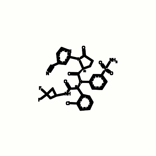 N#Cc1ccnc(N2C(=O)CC[C@H]2C(=O)N(c2cccc(S(N)(=O)=O)c2)[C@H](C(=O)NC2CC(F)(F)C2)c2ccccc2Cl)c1